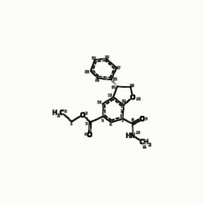 CCOC(=O)c1cc(C(=O)NC)c2c(c1)[C@H](c1ccccc1)CO2